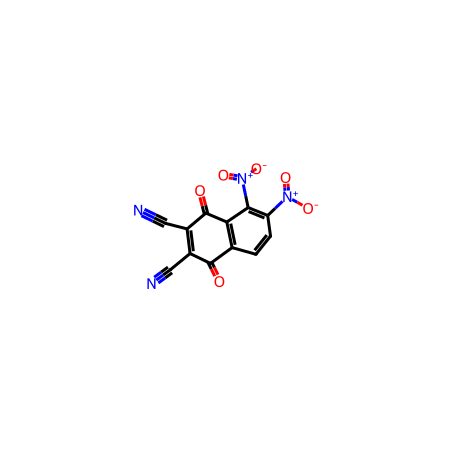 N#CC1=C(C#N)C(=O)c2c(ccc([N+](=O)[O-])c2[N+](=O)[O-])C1=O